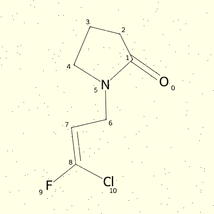 O=C1CCCN1C/C=C(/F)Cl